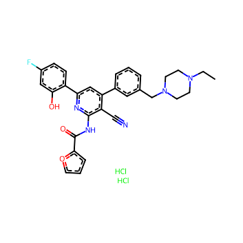 CCN1CCN(Cc2cccc(-c3cc(-c4ccc(F)cc4O)nc(NC(=O)c4ccco4)c3C#N)c2)CC1.Cl.Cl